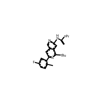 C=C(CCC)Nc1cc2c(C(C)(C)C)nc(-c3cc(F)ccc3C)cc2cn1